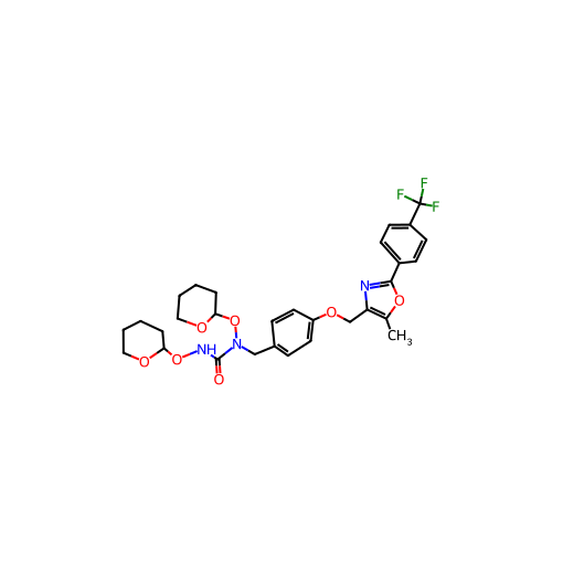 Cc1oc(-c2ccc(C(F)(F)F)cc2)nc1COc1ccc(CN(OC2CCCCO2)C(=O)NOC2CCCCO2)cc1